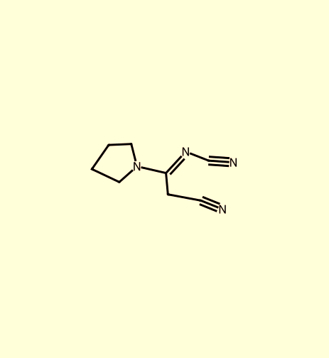 N#CCC(=NC#N)N1CCCC1